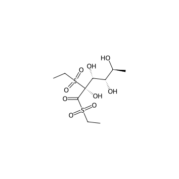 CCS(=O)(=O)C(=O)[C@](O)([C@H](O)[C@@H](O)[C@H](C)O)S(=O)(=O)CC